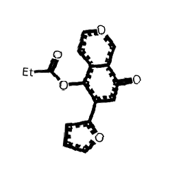 CCC(=O)Oc1c(-c2ccco2)cc(=O)c2coccc1-2